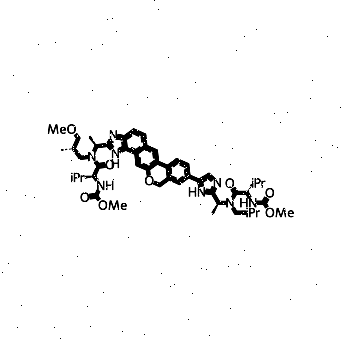 COC[C@@H](C)CN(C(=O)[C@@H](NC(=O)OC)C(C)C)[C@@H](C)c1nc2ccc3cc4c(cc3c2[nH]1)OCc1cc(-c2cnc([C@H](C)N(CC(C)C)C(=O)[C@@H](NC(=O)OC)C(C)C)[nH]2)ccc1-4